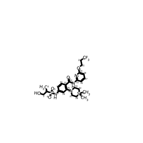 CC(CO)S(=O)(=O)Nc1ccc(C(=O)Nc2cccc(OCCC(F)(F)F)n2)c(N2CC[Si](C)(C)CC2)c1